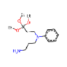 CCO[Si](CCN(CCCN)c1ccccc1)(OCC)OCC